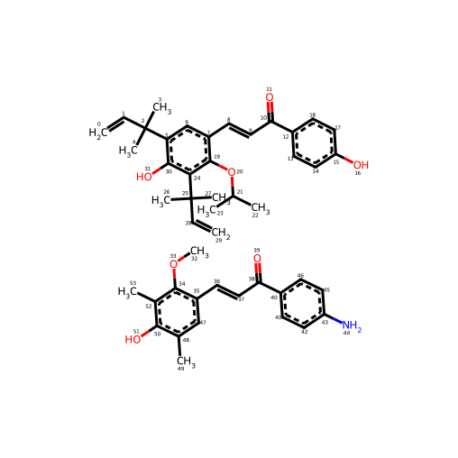 C=CC(C)(C)c1cc(C=CC(=O)c2ccc(O)cc2)c(OC(C)C)c(C(C)(C)C=C)c1O.COc1c(C=CC(=O)c2ccc(N)cc2)cc(C)c(O)c1C